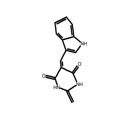 C=c1[nH]c(=O)c(=Cc2c[nH]c3ccccc23)c(=O)[nH]1